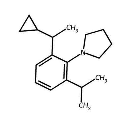 CC(C)c1cccc(C(C)C2CC2)c1N1CCCC1